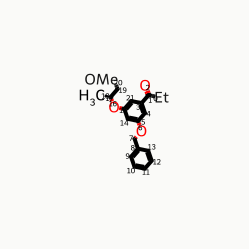 CCC(=O)c1cc(OCc2ccccc2)cc(O[C@@H](C)COC)c1